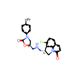 CCCc1ccc(N2C[C@@H](CNC[C@H]3Cn4c(=O)ccc5ccc(F)c3c54)OC2=O)cc1